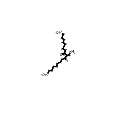 CCCCCCCCCCCCCCCCCC(=O)C(CN)C(=O)CCCCCCCCCCCCCCCCC